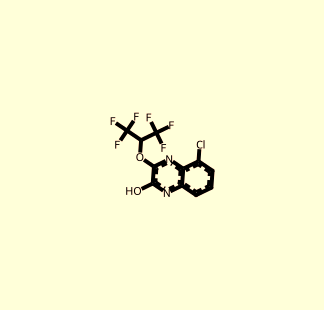 Oc1nc2cccc(Cl)c2nc1OC(C(F)(F)F)C(F)(F)F